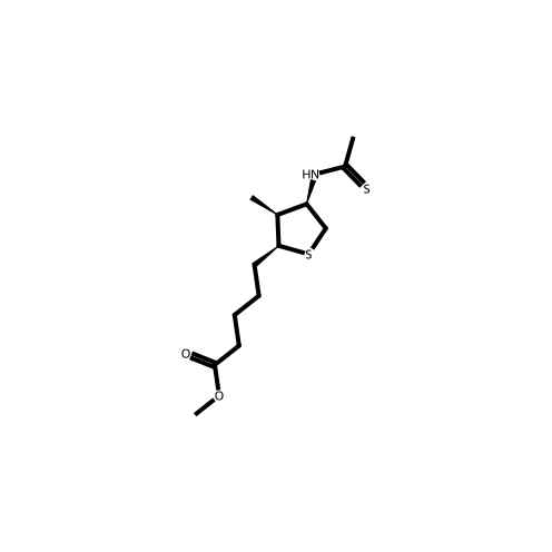 COC(=O)CCCC[C@@H]1SC[C@H](NC(C)=S)[C@@H]1C